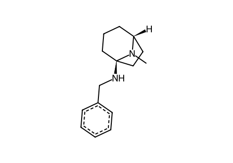 CN1[C@@H]2CCC[C@@]1(NCc1ccccc1)CC2